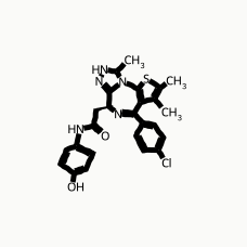 Cc1sc2c(c1C)C(c1ccc(Cl)cc1)=N[C@@H](CC(=O)Nc1ccc(O)cc1)C1=NNC(C)N12